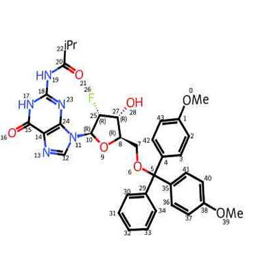 COc1ccc(C(OC[C@H]2O[C@@H](n3cnc4c(=O)[nH]c(NC(=O)C(C)C)nc43)[C@H](F)[C@@H]2O)(c2ccccc2)c2ccc(OC)cc2)cc1